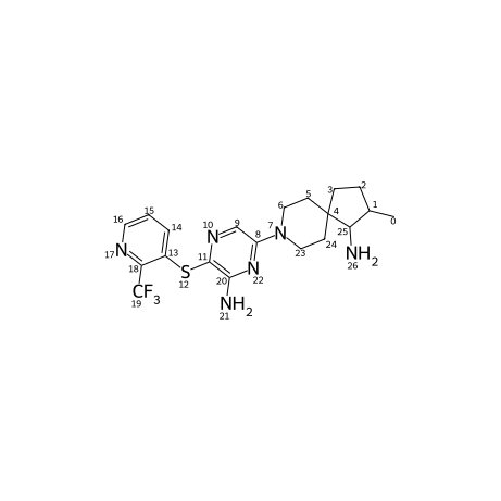 CC1CCC2(CCN(c3cnc(Sc4cccnc4C(F)(F)F)c(N)n3)CC2)C1N